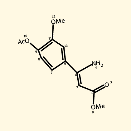 COC(=O)C=C(N)c1ccc(OC(C)=O)c(OC)c1